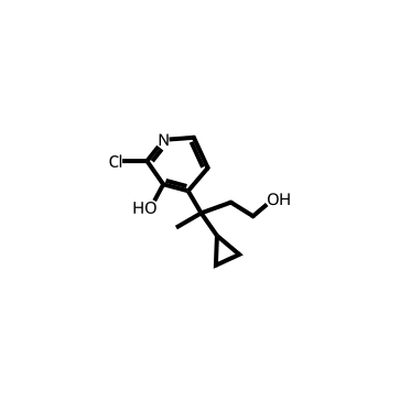 CC(CCO)(c1ccnc(Cl)c1O)C1CC1